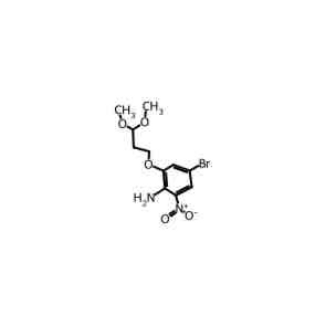 COC(CCOc1cc(Br)cc([N+](=O)[O-])c1N)OC